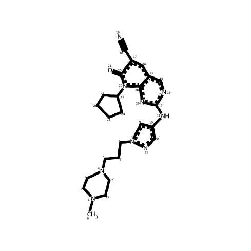 CN1CCN(CCCn2cc(Nc3ncc4cc(C#N)c(=O)n(C5CCCC5)c4n3)cn2)CC1